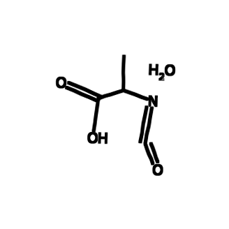 CC(N=C=O)C(=O)O.O